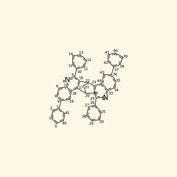 c1ccc(-c2ccc3nc(-c4ccccc4)c4c(c3c2)C2CC4c3c2c(-c2ccccc2)nc2ccc(-c4ccccc4)cc32)cc1